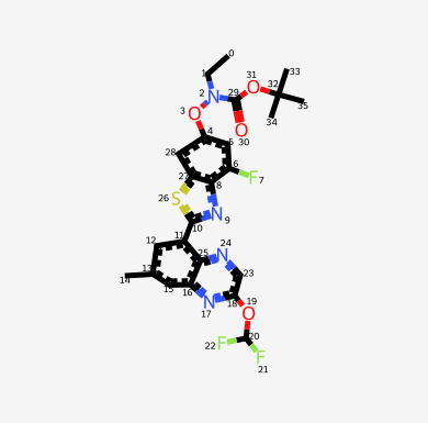 CCN(Oc1cc(F)c2nc(-c3cc(C)cc4nc(OC(F)F)cnc34)sc2c1)C(=O)OC(C)(C)C